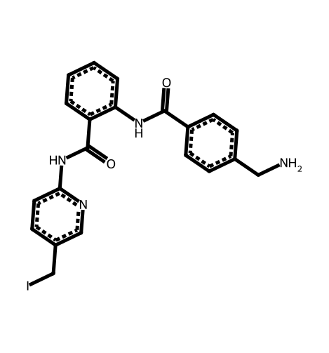 NCc1ccc(C(=O)Nc2ccccc2C(=O)Nc2ccc(CI)cn2)cc1